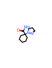 NC(=O)C1(N2CCC=N2)CCCCC1